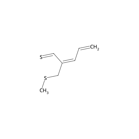 C=C/C=C(\C=S)CSC